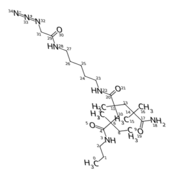 CCCNC(=O)C(C)(CC)CC(C)(CC(C)(C)C(N)=O)C(=O)NCCCCCNC(=O)CN=[N+]=[N-]